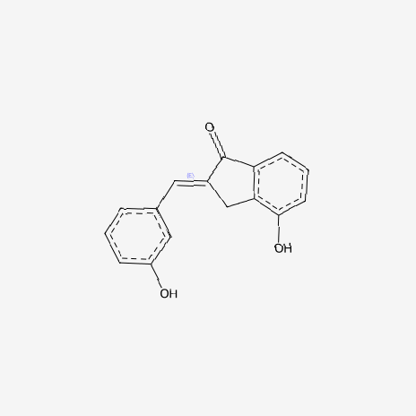 O=C1/C(=C/c2cccc(O)c2)Cc2c(O)cccc21